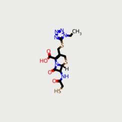 CCn1nnnc1SCC1=C(C(=O)O)N2C(=O)C(NC(=O)CS)[C@H]2SC1